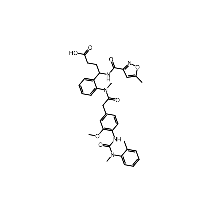 COc1cc(CC(=O)N(C)c2ccccc2C(CCC(=O)O)NC(=O)c2cc(C)on2)ccc1NC(=O)N(C)c1ccccc1C